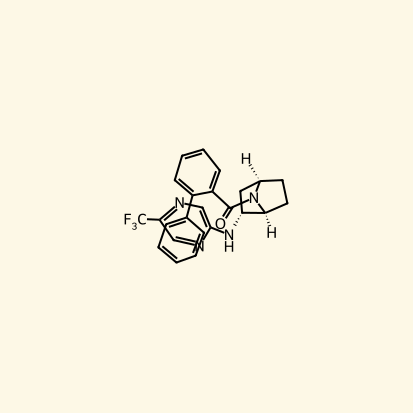 O=C(c1ccccc1-c1ccccc1)N1[C@@H]2CC[C@H]1[C@H](Nc1cnc(C(F)(F)F)cn1)C2